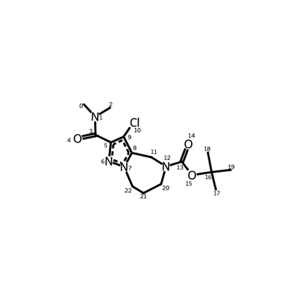 CN(C)C(=O)c1nn2c(c1Cl)CN(C(=O)OC(C)(C)C)CCC2